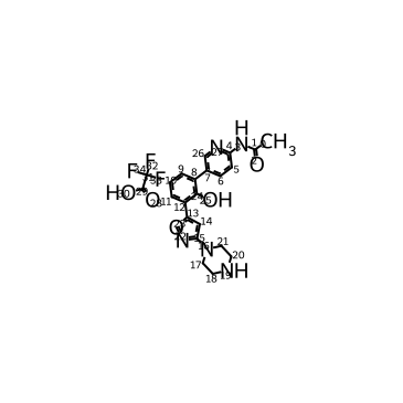 CC(=O)Nc1ccc(-c2cccc(-c3cc(N4CCNCC4)no3)c2O)cn1.O=C(O)C(F)(F)F